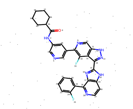 O=C(Nc1cncc(-c2ncc3[nH]nc(-c4nc5c(-c6ccccc6F)nccc5[nH]4)c3c2F)c1)C1CCCCC1